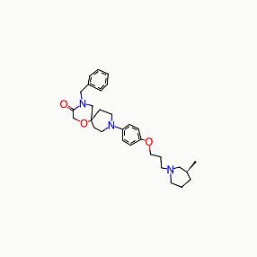 C[C@H]1CCCN(CCCOc2ccc(N3CCC4(CC3)CN(Cc3ccccc3)C(=O)CO4)cc2)C1